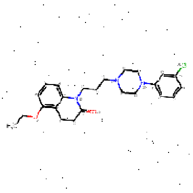 CCOc1cccc2c1CCC(=O)N2CCCN1CCN(c2cccc(Cl)c2)CC1